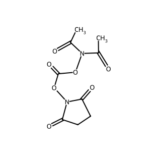 CC(=O)N(OC(=O)ON1C(=O)CCC1=O)C(C)=O